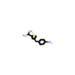 CC(C)c1cc(Cc2ccc(N)cc2)cs1